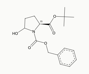 CC(C)(C)OC(=O)[C@@H]1CCC(O)N1C(=O)OCc1ccccc1